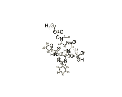 CCOC(=O)ON1CCN(C(=O)[C@H](CCC(=O)O)NC(=O)c2cc(NC(=O)c3ccco3)nc(-c3ccccc3)n2)CC1